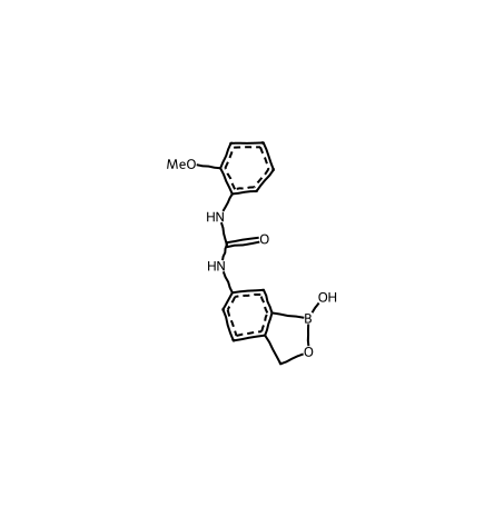 COc1ccccc1NC(=O)Nc1ccc2c(c1)B(O)OC2